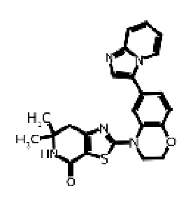 CC1(C)Cc2nc(N3CCOc4ccc(-c5cnc6ccccn56)cc43)sc2C(=O)N1